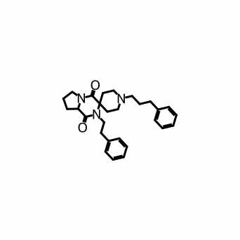 O=C1C2CCCN2C(=O)C2(CCN(CCCc3ccccc3)CC2)N1CCc1ccccc1